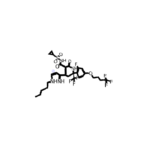 CCCCCN/C=C\C(=N)C1=C(C(=O)NS(=O)(=O)C2CC2)C(=O)N[C@@](c2ccc(OCCCC(F)(F)F)cc2F)(C(F)(F)F)C1